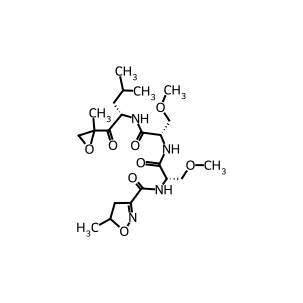 COC[C@H](NC(=O)C1=NOC(C)C1)C(=O)N[C@@H](COC)C(=O)N[C@@H](CC(C)C)C(=O)C1(C)CO1